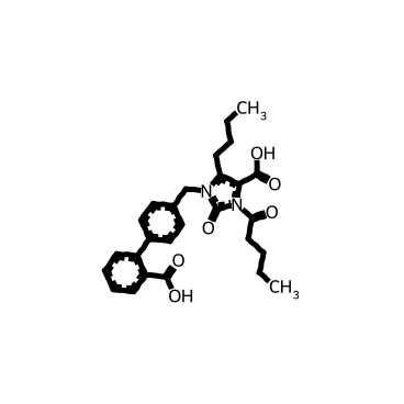 CCCCC(=O)n1c(C(=O)O)c(CCCC)n(Cc2ccc(-c3ccccc3C(=O)O)cc2)c1=O